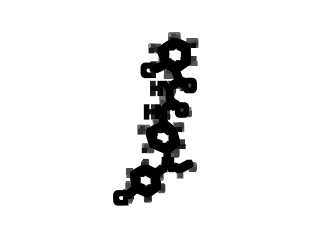 CCN(c1ccc(Cl)cc1)c1ccc(NC(=O)NC(=O)c2ccccc2Cl)cc1